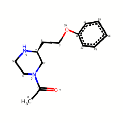 CC(=O)N1CCN[C@@H](CCOc2ccccc2)C1